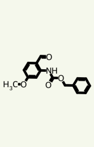 COc1ccc(C=O)c(NC(=O)OCc2ccccc2)c1